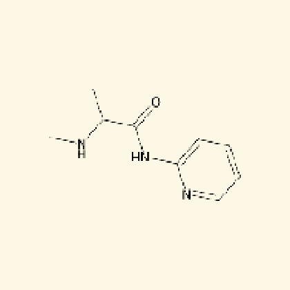 CNC(C)C(=O)Nc1ccccn1